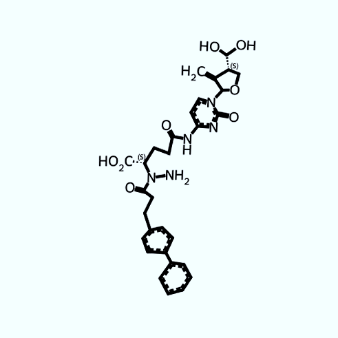 C=C1C(n2ccc(NC(=O)CC[C@@H](C(=O)O)N(N)C(=O)CCc3ccc(-c4ccccc4)cc3)nc2=O)OC[C@H]1C(O)O